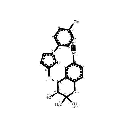 [C-]#[N+]c1ccc2c(c1)[C@@H](Oc1ccn(-c3ccc(Cl)cc3)n1)[C@H](O)C(C)(C)O2